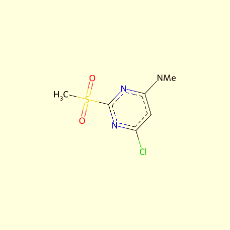 CNc1cc(Cl)nc(S(C)(=O)=O)n1